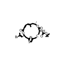 C/C(Br)=C\[C@@H]1Cc2nc(cs2)CCC[C@@H](NC(=O)OC(C)(C)C)C(=O)O[C@@H](C)C/C(C)=C/C=C\C(=O)O1